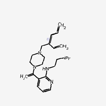 C=C/C=C(\C=C)CN1CCN(C(=C)c2cccnc2NCCC(C)C)CC1